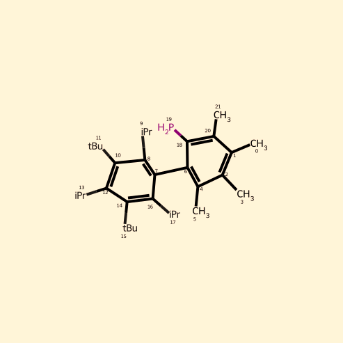 Cc1c(C)c(C)c(-c2c(C(C)C)c(C(C)(C)C)c(C(C)C)c(C(C)(C)C)c2C(C)C)c(P)c1C